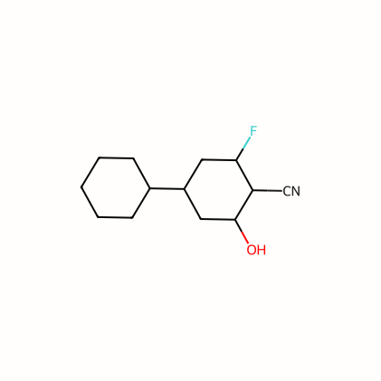 N#CC1C(O)CC(C2CCCCC2)CC1F